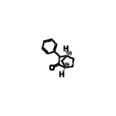 O=C1C(c2ccccc2)[C@H]2CC[C@@H]1C2